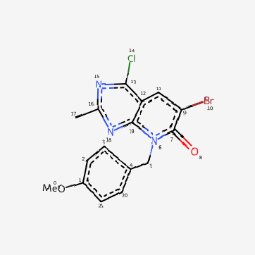 COc1ccc(Cn2c(=O)c(Br)cc3c(Cl)nc(C)nc32)cc1